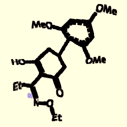 CCO/N=C(/CC)C1=C(O)CC(c2c(OC)cc(OC)cc2OC)CC1=O